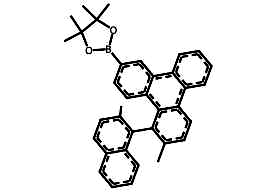 Cc1ccc2ccccc2c1-c1c(C)ccc2c3ccccc3c3cc(B4OC(C)(C)C(C)(C)O4)ccc3c12